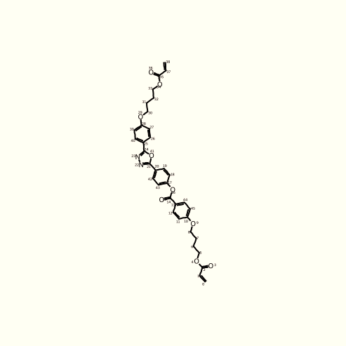 C=CC(=O)OCCCCOc1ccc(C(=O)Oc2ccc(-c3nnc(-c4ccc(OCCCCOC(=O)C=C)cc4)o3)cc2)cc1